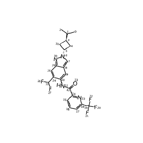 CC(C)[C@H]1C[C@H](n2cc3cc(NC(=O)c4cccc(C(F)(F)F)n4)c(C(F)F)cc3n2)C1